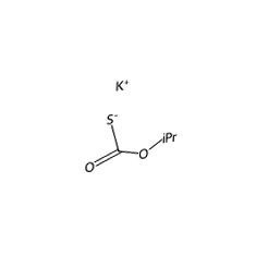 CC(C)OC(=O)[S-].[K+]